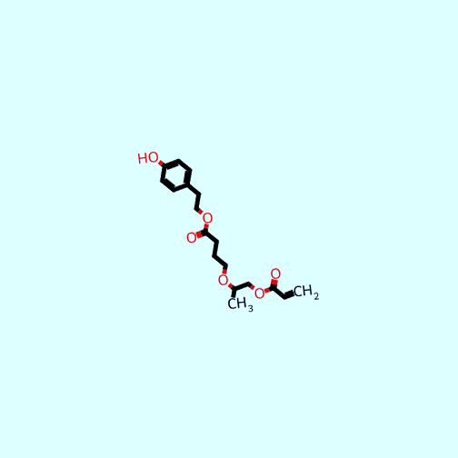 C=CC(=O)OCC(C)OCCCC(=O)OCCc1ccc(O)cc1